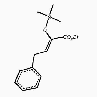 CCOC(=O)C(=CCc1ccccc1)O[Si](C)(C)C